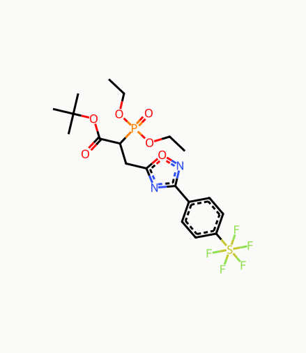 CCOP(=O)(OCC)C(Cc1nc(-c2ccc(S(F)(F)(F)(F)F)cc2)no1)C(=O)OC(C)(C)C